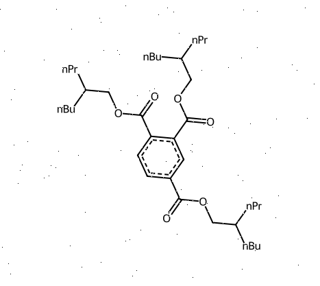 CCCCC(CCC)COC(=O)c1ccc(C(=O)OCC(CCC)CCCC)c(C(=O)OCC(CCC)CCCC)c1